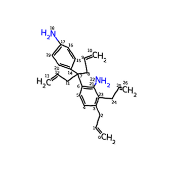 C=CCc1ccc(C(CC=C)(CC=C)c2ccc(N)cc2)c(N)c1CC=C